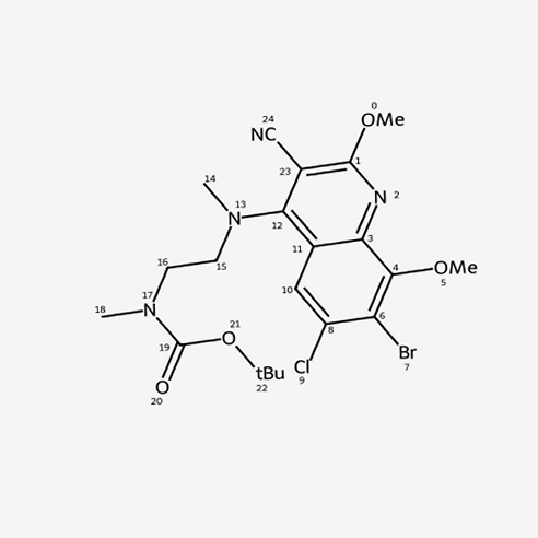 COc1nc2c(OC)c(Br)c(Cl)cc2c(N(C)CCN(C)C(=O)OC(C)(C)C)c1C#N